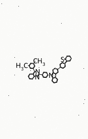 Cc1cc(C)cc(-c2nc(-c3ccc(-n4c5ccccc5c5cc(-c6ccc7c(c6)sc6ccccc67)ccc54)cc3)nc3ccccc23)c1